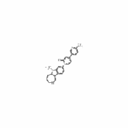 CN1c2cc(-n3ccc(-c4ccc(C(F)(F)F)nc4)cc3=O)ccc2C2CNCCCC21